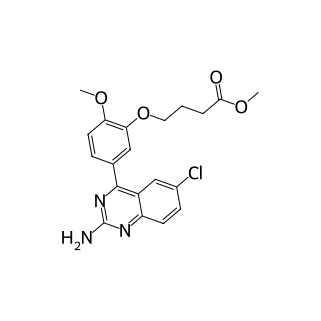 COC(=O)CCCOc1cc(-c2nc(N)nc3ccc(Cl)cc23)ccc1OC